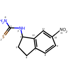 NC(=S)NC1CCc2ccc([N+](=O)[O-])cc21